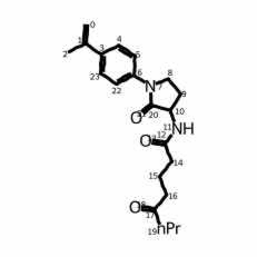 C=C(C)c1ccc(N2CCC(NC(=O)CCCC(=O)CCC)C2=O)cc1